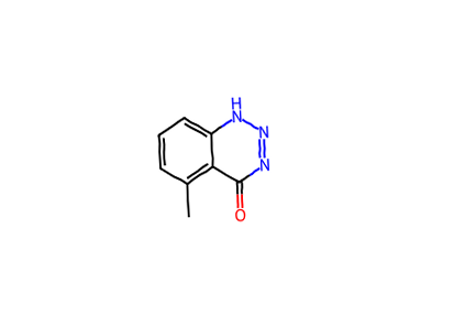 Cc1cccc2[nH]nnc(=O)c12